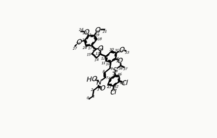 CCCC(=O)N(O)C=CCc1cc(C2CCC(c3cc(OC)c(OC)c(OC)c3)O2)cc(OC)c1OC(C)Sc1ccc(Cl)c(Cl)c1